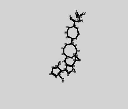 O=C(N[SH](=O)=O)C1CCCC(C2CCCCC(Cc3c(-c4c(Cl)cccc4Cl)noc3C3CC3)CCC2)CCC1